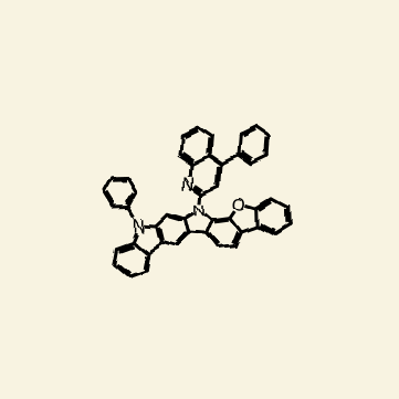 c1ccc(-c2cc(-n3c4cc5c(cc4c4ccc6c7ccccc7oc6c43)c3ccccc3n5-c3ccccc3)nc3ccccc23)cc1